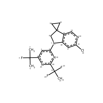 CC(C)(F)c1cc(N2CC3(CC3)c3cnc(Cl)cc32)nc(C(C)(F)F)n1